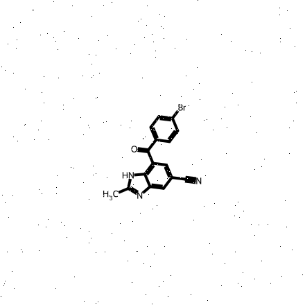 Cc1nc2cc(C#N)cc(C(=O)c3ccc(Br)cc3)c2[nH]1